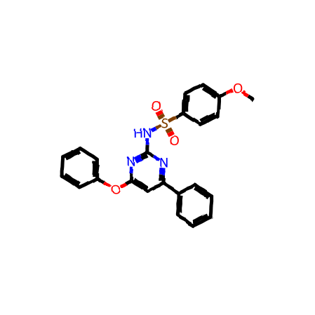 COc1ccc(S(=O)(=O)Nc2nc(Oc3ccccc3)cc(-c3ccccc3)n2)cc1